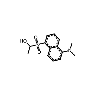 CC(O)S(=O)(=O)c1cccc2c(N(C)C)cccc12